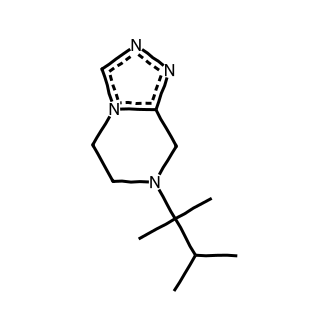 CC(C)C(C)(C)N1CCn2cnnc2C1